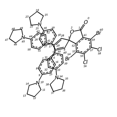 O=C1OC(C=C(c2ccc(N3CCCC3)cc2)c2ccc(N3CCCC3)cc2)(C=C(c2ccc(N3CCCC3)cc2)c2ccc(N3CCCC3)cc2)c2c(Br)c(Cl)c(Cl)c(Br)c21